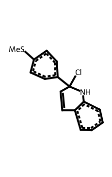 CSc1ccc(C2(Cl)C=Cc3ccccc3N2)cc1